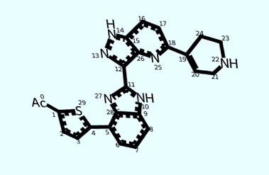 CC(=O)c1ccc(-c2cccc3[nH]c(-c4n[nH]c5ccc(C6=CCNCC6)nc45)nc23)s1